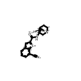 N#Cc1cccc2cc(C(=O)N[C@H]3CN4CCC3CC4)sc12